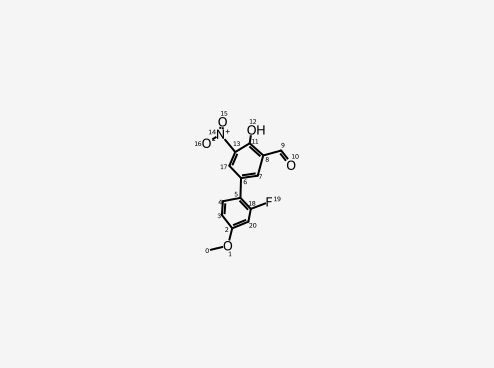 COc1ccc(-c2cc(C=O)c(O)c([N+](=O)[O-])c2)c(F)c1